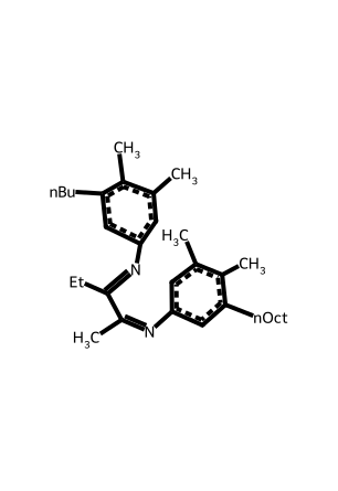 CCCCCCCCc1cc(N=C(C)C(CC)=Nc2cc(C)c(C)c(CCCC)c2)cc(C)c1C